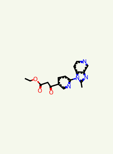 CCOC(=O)CC(=O)c1ccc(-n2c(C)nc3cnccc32)nc1